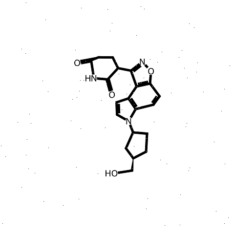 O=C1CCC(c2noc3ccc4c(ccn4C4CC[C@@H](CO)C4)c23)C(=O)N1